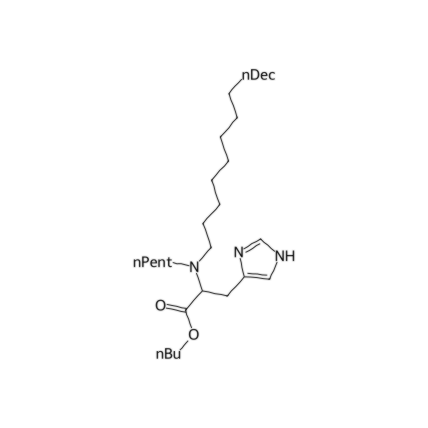 CCCCCCCCCCCCCCCCCCN(CCCCC)C(Cc1c[nH]cn1)C(=O)OCCCC